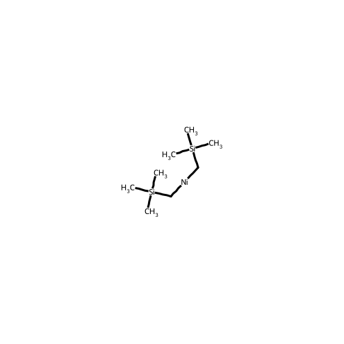 C[Si](C)(C)[CH2][Ni][CH2][Si](C)(C)C